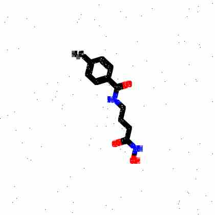 Cc1ccc(C(=O)NCCCC(=O)NO)cc1